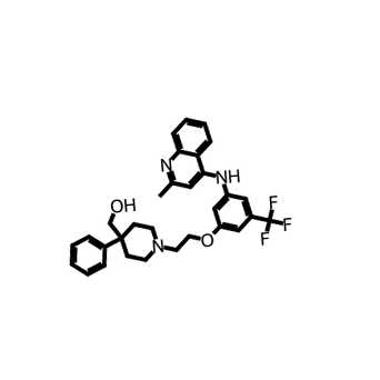 Cc1cc(Nc2cc(OCCN3CCC(CO)(c4ccccc4)CC3)cc(C(F)(F)F)c2)c2ccccc2n1